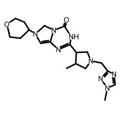 CC1CN(Cc2ncn(C)n2)CC1C1=NC2=CN(C3CCOCC3)CN2C(=O)N1